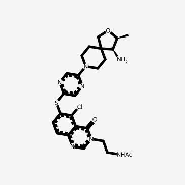 CC(=O)NCCn1cnc2ccc(Sc3cnc(N4CCC5(CC4)CO[C@@H](C)[C@H]5N)cn3)c(Cl)c2c1=O